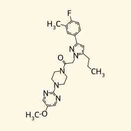 CCCc1cc(-c2ccc(F)c(C)c2)nn1CC(=O)N1CCN(c2ncc(OC)cn2)CC1